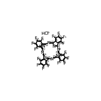 Cl.Fc1c(F)c(F)c2c(c1F)-c1nc-2nc2[nH]c(nc3nc(nc4[nH]c(n1)c1c(F)c(F)c(F)c(F)c41)-c1c(F)c(F)c(F)c(F)c1-3)c1c(F)c(F)c(F)c(F)c21